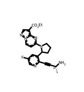 CCOC(=O)c1cnn2ccc(N3CCCC3c3cc(F)cnc3C#C[C@@H](C)N)nc12